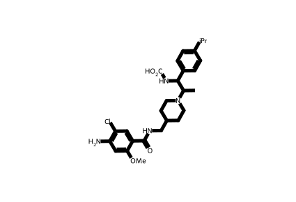 COc1cc(N)c(Cl)cc1C(=O)NCC1CCN(C(C)C(NC(=O)O)c2ccc(C(C)C)cc2)CC1